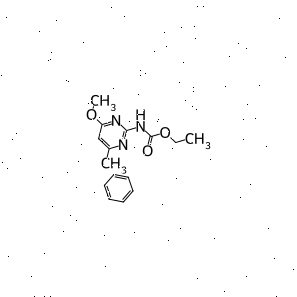 CCOC(=O)Nc1nc(C)cc(OC)n1.c1ccccc1